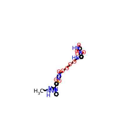 CCCCNc1ncc2c(-c3ccc(S(=O)(=O)N4CCN(C(=O)COCCOCCOCCOCCNc5cccc6c5C(=O)N(C5CCC(=O)NC5=O)C6=O)CC4)cc3)nn(C3CCCCC3)c2n1